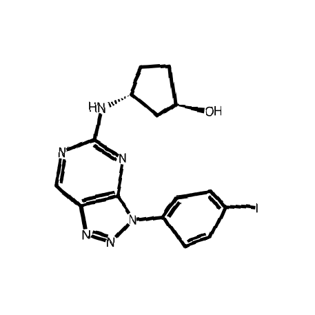 O[C@@H]1CC[C@@H](Nc2ncc3nnn(-c4ccc(I)cc4)c3n2)C1